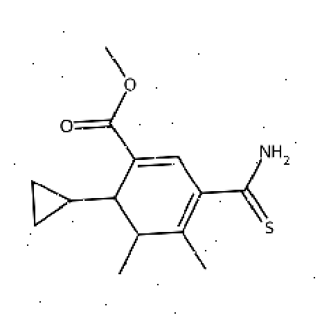 COC(=O)C1=CC(C(N)=S)=C(C)C(C)C1C1CC1